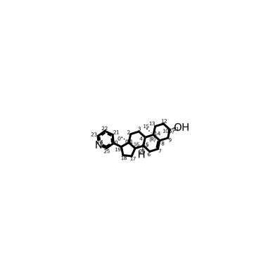 C[C@]12CCC3[C@@H](CC=C4C[C@@H](O)CC[C@@]43C)C1CCC2c1cccnc1